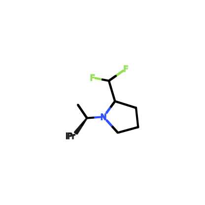 CC(C)[C@@H](C)N1CCCC1C(F)F